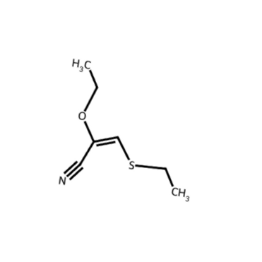 CCOC(C#N)=CSCC